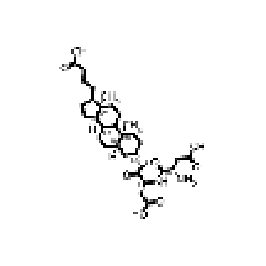 C[C@]12CCC3[C@@H](CC[C@@H]4C[C@@H](OC(=O)[C@H](CC(=O)O)NC(=O)[C@@H](N)CC(=O)O)CC[C@]34C)C1CCC2CCCC(=O)O